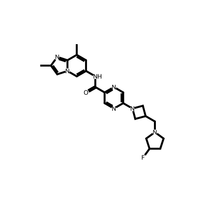 Cc1cn2cc(NC(=O)c3cnc(N4CC(CN5CCC(F)C5)C4)cn3)cc(C)c2n1